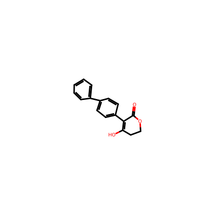 O=C1OCCC(O)=C1c1ccc(-c2ccccc2)cc1